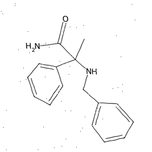 CC(NCc1ccccc1)(C(N)=O)c1ccccc1